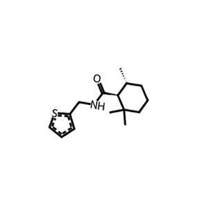 C[C@@H]1CCCC(C)(C)[C@H]1C(=O)NCc1cccs1